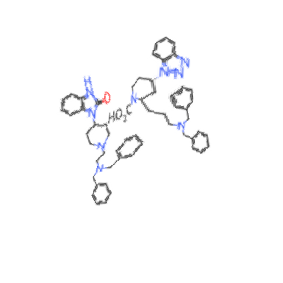 O=C(O)N1CC[C@H](n2nnc3ccccc32)CC1CCCN(Cc1ccccc1)Cc1ccccc1.O=c1[nH]c2ccccc2n1C1CCN(CCN(Cc2ccccc2)Cc2ccccc2)CC1